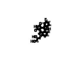 O=C1NC(=O)C(c2cn(CC(O)CO)c3ccc(F)cc23)=C1c1c[nH]c2ccc(F)cc12